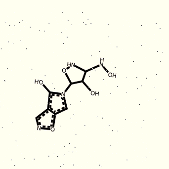 ONC1NOC(n2cc3oncc3c2O)C1O